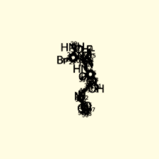 CCC(Cc1ccc(Nc2ncc(C(F)(F)F)c(Nc3ccc(Br)cc3C(=O)NC)n2)c(OC)c1)P(=O)(O)CCCn1cc(B2OC(C)(C)C(C)(C)O2)cn1